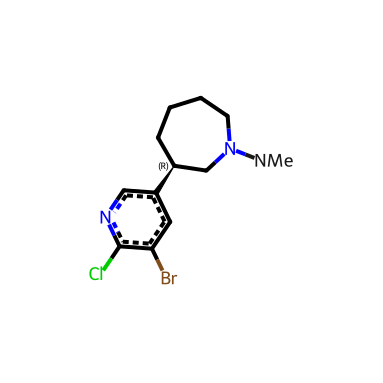 CNN1CCCC[C@H](c2cnc(Cl)c(Br)c2)C1